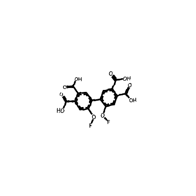 O=C(O)c1cc(OF)c(-c2cc(C(=O)O)c(C(=O)O)cc2OF)cc1C(=O)O